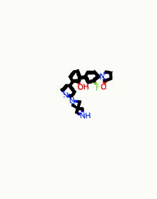 O=C1CCCN1c1ccc(-c2cccc(-c3ccnc(N4CC5(CNC5)C4)c3)c2O)cc1F